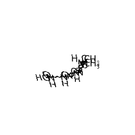 CC(C)(C)c1cnc(CSc2cnc(NC(=O)C3CCN(CC(=O)NCCCCCNC(=O)O)CC3)s2)o1